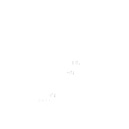 O=C(O)NCc1ccc(Nc2ccccc2NCc2ccc(-c3ccccc3)cc2)cc1